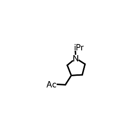 CC(=O)CC1CCN(C(C)C)C1